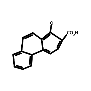 [O]c1c(C(=O)O)ccc2c1ccc1ccccc12